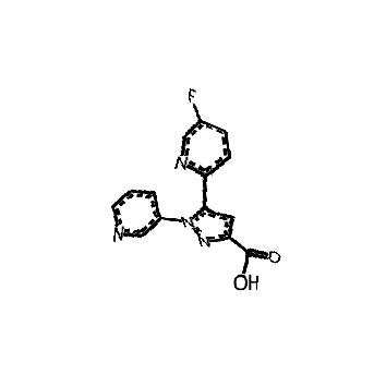 O=C(O)c1cc(-c2ccc(F)cn2)n(-c2cccnc2)n1